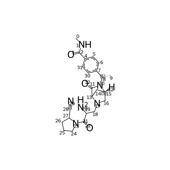 CNC(=O)c1ccc([C@H](C)N2C(=O)C3C[C@H]2CN3CC(N)C(=O)N2CCCC2C#N)cc1